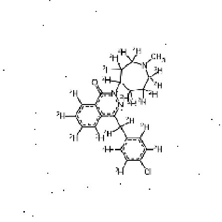 [2H]c1c([2H])c(C([2H])([2H])c2nn(C3([2H])C([2H])([2H])C([2H])([2H])N(C)C([2H])([2H])C([2H])([2H])C3([2H])[2H])c(=O)c3c([2H])c([2H])c([2H])c([2H])c23)c([2H])c([2H])c1Cl